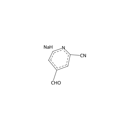 N#Cc1cc(C=O)ccn1.[NaH]